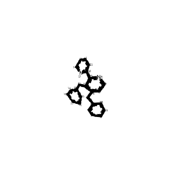 c1ccc(Cc2ccnc(-c3ccccn3)c2Cc2ccccc2)cc1